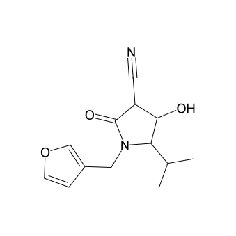 CC(C)C1C(O)C(C#N)C(=O)N1Cc1ccoc1